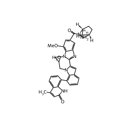 COc1cc(C(=O)N2C[C@H]3CC[C@@H]2[C@@H]3N)cc2nc(-c3cc4cccc(-c5cccc6c(C)cc(=O)[nH]c56)c4n3CC3CC3)n(C)c12